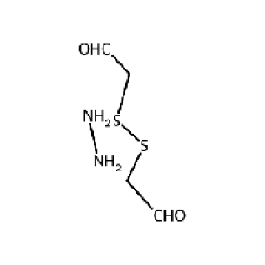 NN.O=CCSSCC=O